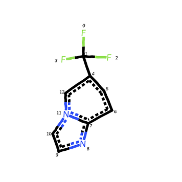 FC(F)(F)c1ccc2nccn2c1